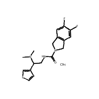 CN(C)C(CNC(=O)N1Cc2cc(F)c(F)cc2C1)c1ccsc1.Cl